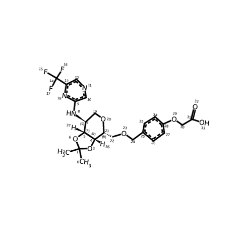 CC1(C)O[C@@H]2[C@H](O1)[C@@H](Nc1cncc(C(F)(F)F)n1)CO[C@@H]2COCc1ccc(OCC(=O)O)cc1